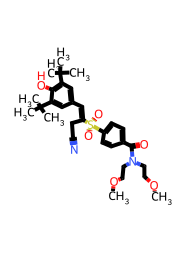 COCCN(CCOC)C(=O)c1ccc(S(=O)(=O)C(=Cc2cc(C(C)(C)C)c(O)c(C(C)(C)C)c2)CC#N)cc1